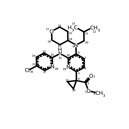 COC(=O)C1(c2ccc(N(CC(C)C)C3CCOCC3)c(Nc3ccc(Cl)cn3)n2)CC1